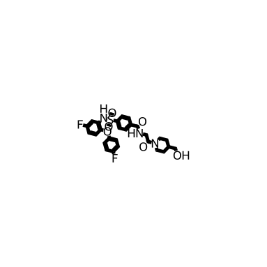 O=C(NCC(=O)N1CCC(CO)CC1)c1ccc(S(=O)(=O)Nc2cc(F)ccc2Oc2ccc(F)cc2)cc1